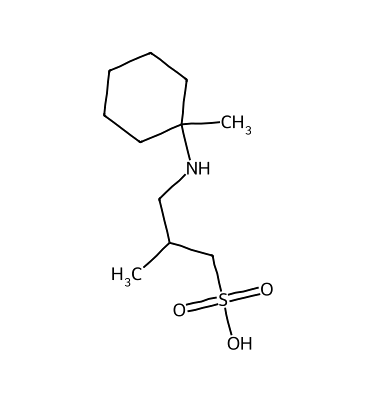 CC(CNC1(C)CCCCC1)CS(=O)(=O)O